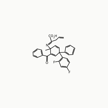 C=CCC(=NC1(C)C=CC(c2ccccc2)(c2ccc(F)cc2F)C=C1C(=O)c1ccccc1)C(=O)O